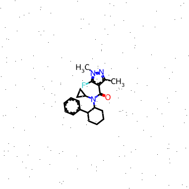 Cc1nn(C)c(F)c1C(=O)N(C1CC1)C1CCCCC1c1ccccc1